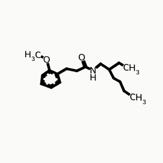 CCCCC(CC)CNC(=O)CCc1ccccc1OC